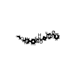 CCCOCc1ncc(-c2ccc3nc(NC(=O)[C@H]4C[C@@H](N5CCN(C(=O)c6ccccn6)C[C@@H]5C)C4)sc3c2)cn1